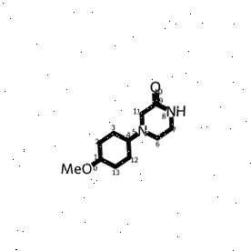 COC1CCC(N2CCNC(=O)C2)CC1